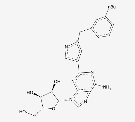 CCCCc1cccc(Cn2cc(-c3nc(N)c4ncn([C@@H]5O[C@H](CO)[C@@H](O)[C@H]5O)c4n3)cn2)c1